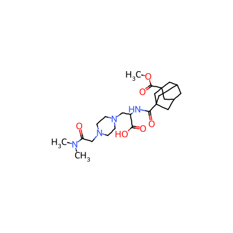 COC(=O)C12CC3CC(CC(C(=O)NC(CN4CCN(CC(=O)N(C)C)CC4)C(=O)O)(C3)C1)C2